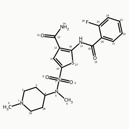 CN1CCC(N(C)S(=O)(=O)c2cc(C(N)=O)c(NC(=O)c3ccccc3F)s2)CC1